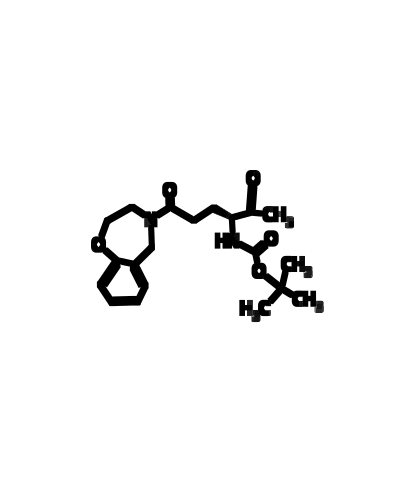 CC(=O)[C@H](CCC(=O)N1CCOc2ccccc2C1)NC(=O)OC(C)(C)C